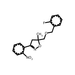 CC1(COCc2ccccc2F)CC(c2ccccc2[N+](=O)[O-])=NO1